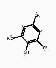 FC(F)(F)c1cc(C(F)(F)F)c(S)c(C(F)(F)F)c1